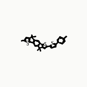 Cc1ccc(-c2ccc(-c3cc4c(s3)-c3cc5c(cc3C4(C)C)-c3sc(C)cc3C5(C)C)s2)cc1